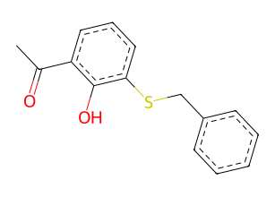 CC(=O)c1cccc(SCc2ccccc2)c1O